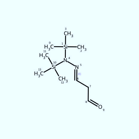 C[Si](C)(C)N(/N=C/CC=O)[Si](C)(C)C